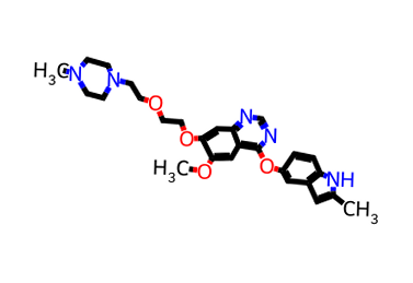 COc1cc2c(Oc3ccc4[nH]c(C)cc4c3)ncnc2cc1OCCOCCN1CCN(C)CC1